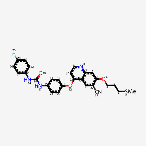 CSCCCOc1cc2nccc(Oc3ccc(NC(=O)Nc4ccc(F)cc4)cc3)c2cc1C#N